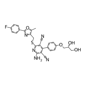 Cc1oc(-c2ccc(F)cc2)nc1CSc1nc(N)c(C#N)c(-c2ccc(OC[C@@H](O)CO)cc2)c1C#N